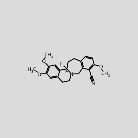 COc1cc2c(cc1OC)[C@@H]1CCc3ccc(OC)c(C#N)c3CN1CC2